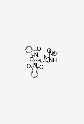 O=C1c2ccccc2C(=O)N1C[C@H](Cc1c[nH]c([N+](=O)[O-])n1)ON1C(=O)c2ccccc2C1=O